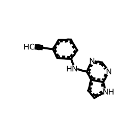 C#Cc1cccc(Nc2ncnc3[nH]ccc23)c1